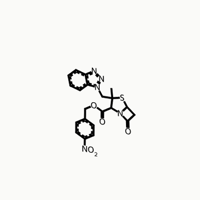 CC1(Cn2nnc3ccccc32)SC2CC(=O)N2C1C(=O)OCc1ccc([N+](=O)[O-])cc1